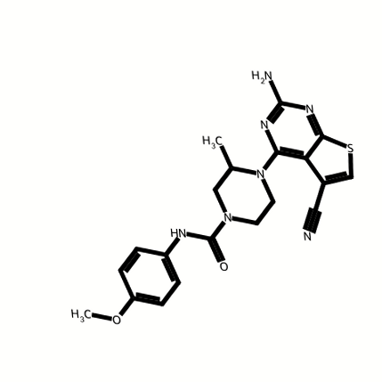 COc1ccc(NC(=O)N2CCN(c3nc(N)nc4scc(C#N)c34)C(C)C2)cc1